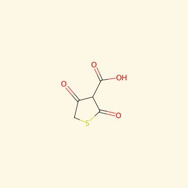 O=C(O)C1C(=O)CSC1=O